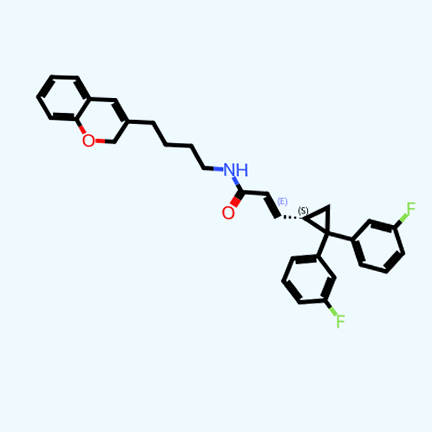 O=C(/C=C/[C@@H]1CC1(c1cccc(F)c1)c1cccc(F)c1)NCCCCC1=Cc2ccccc2OC1